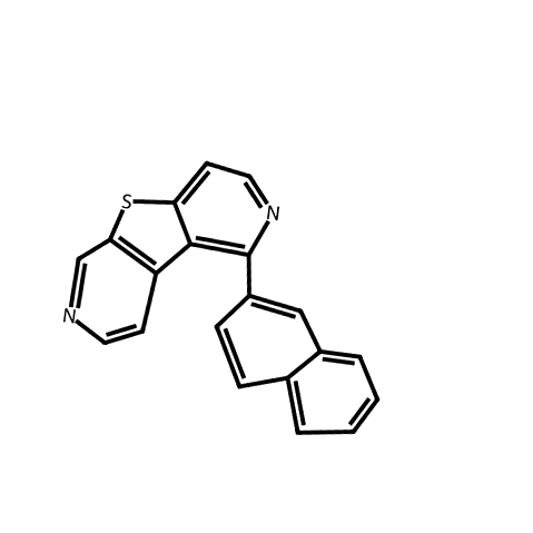 c1ccc2cc(-c3nccc4sc5cnccc5c34)ccc2c1